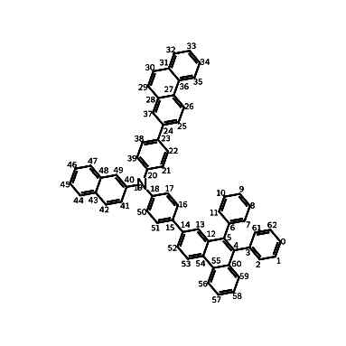 c1ccc(-c2c(-c3ccccc3)c3cc(-c4ccc(N(c5ccc(-c6ccc7c(ccc8ccccc87)c6)cc5)c5ccc6ccccc6c5)cc4)ccc3c3ccccc23)cc1